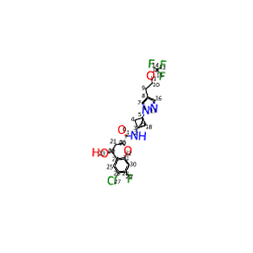 O=C(NC12CC(n3cc(CCOC(F)(F)F)cn3)(C1)C2)[C@H]1C[C@@H](O)c2cc(Cl)c(F)cc2O1